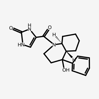 O=C(c1c[nH]c(=O)[nH]1)N1CCC(O)(c2ccccc2)[C@H]2CCCC[C@@H]21